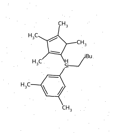 CCC(C)C[SiH](C1=C(C)C(C)=C(C)C1C)c1cc(C)cc(C)c1